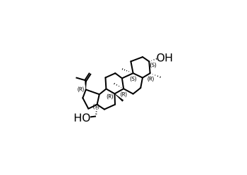 C=C(C)[C@@H]1CC[C@]2(CO)CC[C@]3(C)C(CCC4[C@@]5(C)CC[C@H](O)[C@H](C)C5CC[C@]43C)C12